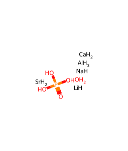 O.O=P(O)(O)O.[AlH3].[CaH2].[LiH].[NaH].[SrH2]